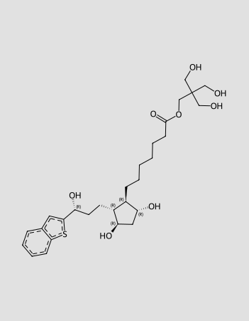 O=C(CCCCCC[C@@H]1[C@@H](CC[C@@H](O)c2cc3ccccc3s2)[C@H](O)C[C@H]1O)OCC(CO)(CO)CO